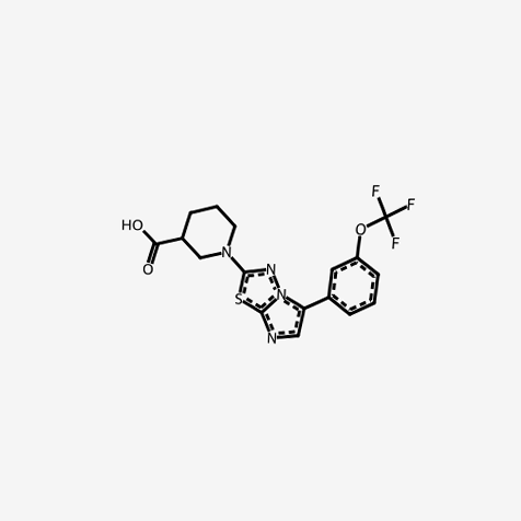 O=C(O)C1CCCN(c2nn3c(-c4cccc(OC(F)(F)F)c4)cnc3s2)C1